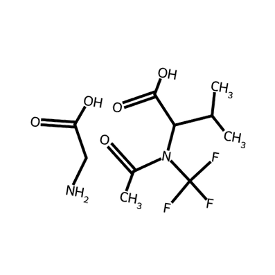 CC(=O)N(C(C(=O)O)C(C)C)C(F)(F)F.NCC(=O)O